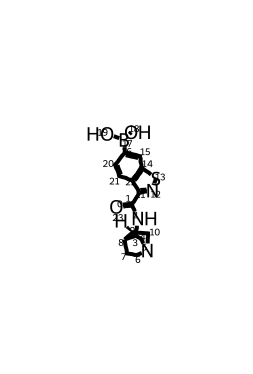 O=C(N[C@@H]1CN2CCC1CC2)c1nsc2cc(B(O)O)ccc12